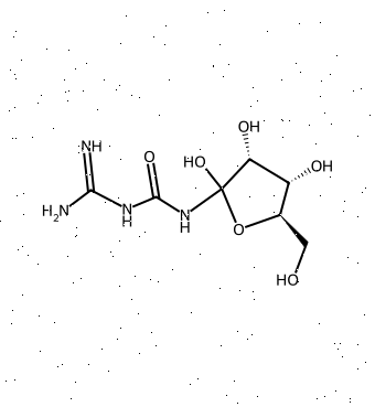 N=C(N)NC(=O)NC1(O)O[C@H](CO)[C@@H](O)[C@H]1O